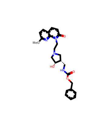 COc1ccc2ccc(=O)n(CCN3C[C@H](CNC(=O)OCc4ccccc4)[C@H](O)C3)c2n1